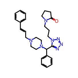 O=C1CCCN1CCCn1nnnc1C(c1ccccc1)N1CCN(CC=Cc2ccccc2)CC1